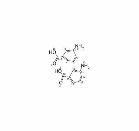 Nc1cccc(C(=O)O)c1.Nc1cccc(C(=O)O)c1